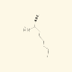 [C]#CC(CCCCCC)NC